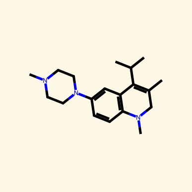 CC1=C(C(C)C)c2cc(N3CCN(C)CC3)ccc2N(C)C1